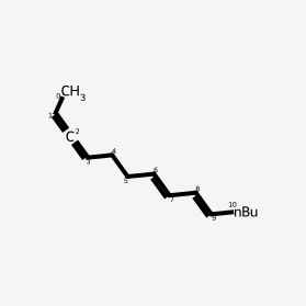 CC=C=CCCC=CC=CCCCC